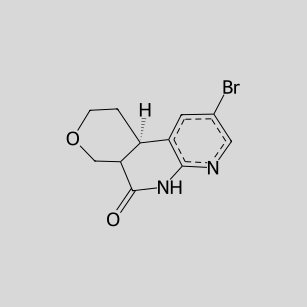 O=C1Nc2ncc(Br)cc2[C@@H]2CCOCC12